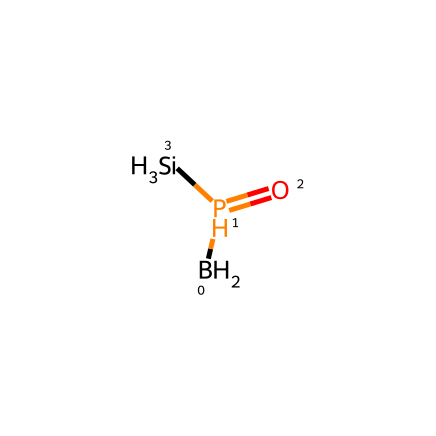 B[PH](=O)[SiH3]